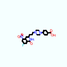 O=C(O)c1ccc(N2CCN(CCCc3cc4c([N+](=O)[O-])cc(F)cc4c(=O)[nH]3)CC2)cc1